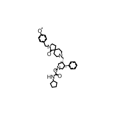 COc1ccc(CN2CCC3(CCN(C[C@H]4CN(OC(=O)NC5CCCC5)C[C@@H]4c4ccccc4)CC3)C2=O)cc1